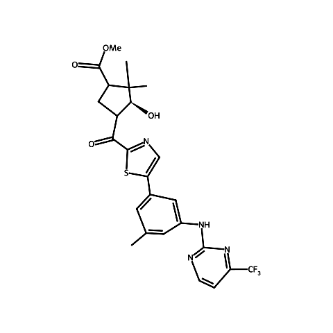 COC(=O)C1CC(C(=O)c2ncc(-c3cc(C)cc(Nc4nccc(C(F)(F)F)n4)c3)s2)[C@H](O)C1(C)C